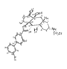 CCOC(=O)N[C@@H]1CC[C@@H]2[C@@H](C1)C[C@@]1(O)C(=O)O[C@H](C)[C@H]1[C@H]2/C=C/c1ccc(-c2cccc(F)c2)cn1